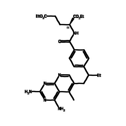 CCOC(=O)CC[C@H](NC(=O)c1ccc(C(CC)Cc2cnc3nc(N)nc(N)c3c2C)cc1)C(=O)OCC